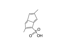 CC1=CC2=CC(C)=C(S(=O)(=O)O)C2=C1